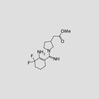 COC(=O)CC1CCN(C(=N)C2=C(N)C(F)(F)CCC2)C1